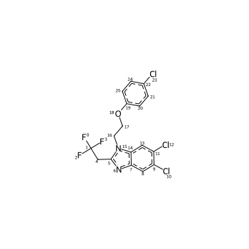 FC(F)(F)Cc1nc2cc(Cl)c(Cl)cc2n1CCOc1ccc(Cl)cc1